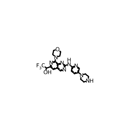 OC(c1cc2cnc(Nc3ccc(N4CCNCC4)cn3)nc2c(N2CCOCC2)n1)C(F)(F)F